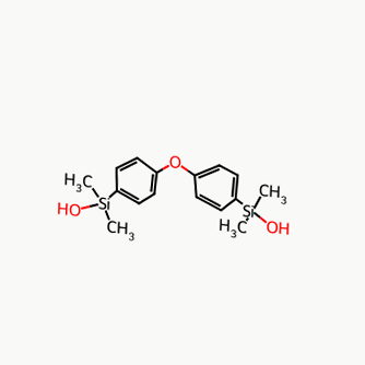 C[Si](C)(O)c1ccc(Oc2ccc([Si](C)(C)O)cc2)cc1